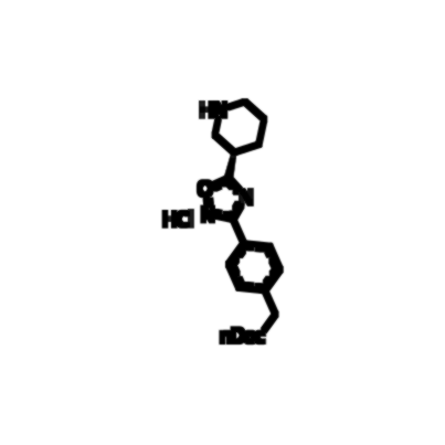 CCCCCCCCCCCc1ccc(-c2noc([C@@H]3CCCNC3)n2)cc1.Cl